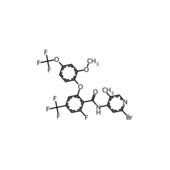 COc1cc(OC(F)(F)F)ccc1Oc1cc(C(F)(F)F)cc(F)c1C(=O)Nc1cc(Br)ncc1C